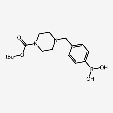 CC(C)(C)OC(=O)N1CCN(Cc2ccc(B(O)O)cc2)CC1